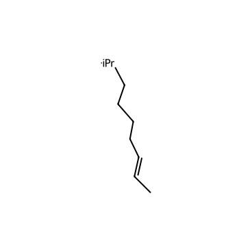 C/C=C/CCCC[C](C)C